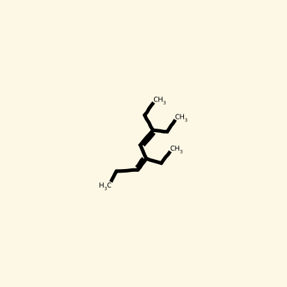 CCC=C([C]=C(CC)CC)CC